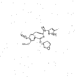 COc1cc2cc(Nc3cc(C)[nH]n3)nc(O[C@@H]3CCOC3)c2cc1OC